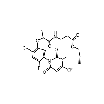 C#CCOC(=O)CCNC(=O)C(C)Oc1cc(-n2c(=O)cc(C(F)(F)F)n(C)c2=O)c(F)cc1Cl